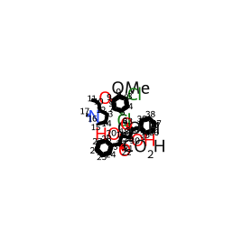 COc1c(Cl)cc(Cl)cc1OC(C)C1CCCN1C.O=C(O)C(O)(C(=O)c1ccccc1)C(O)(C(=O)O)C(=O)c1ccccc1